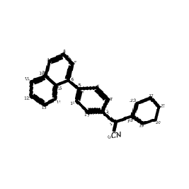 N#CC(c1ccc(-c2cccc3ccccc23)cc1)C1CCCCC1